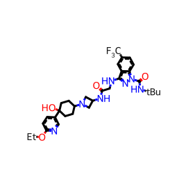 CCOc1ccc(C2(O)CCC(N3CC(NC(=O)CNc4nn(C(=O)NC(C)(C)C)c5ccc(C(F)(F)F)cc45)C3)CC2)cn1